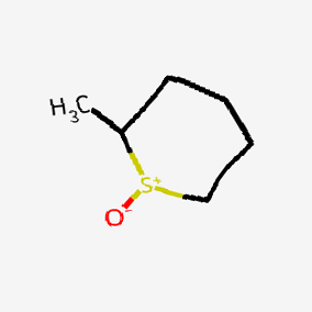 CC1CCCC[S+]1[O-]